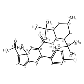 CC(=O)C1=CC=C2N=C(c3ccc(Cl)cc3)C(C(=O)OC3C(C(C)(C)C)CC(C)CC3C(C)(C)C)=C[N+]21N